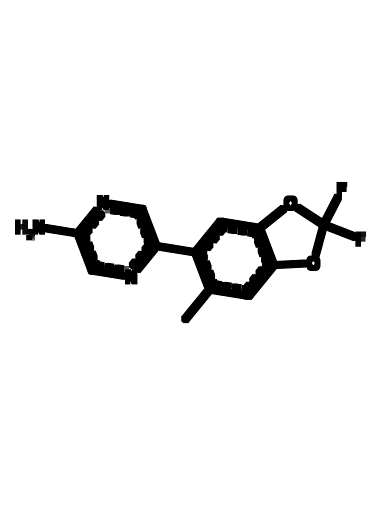 Cc1cc2c(cc1-c1cnc(N)cn1)OC(F)(F)O2